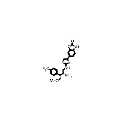 COC[C@@H](c1ccc(C(F)(F)F)cc1)[C@@H](N)CNc1ncc(-c2ccc3[nH]c(=O)oc3c2)s1